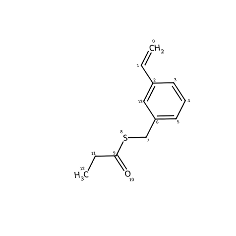 C=Cc1cccc(CSC(=O)CC)c1